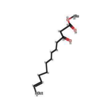 CCCCCCCC/C=C/CCCCCCCC(=O)CC(=O)OC(C)(C)C